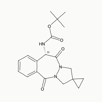 CC(C)(C)OC(=O)N[C@@H]1C(=O)N2CC3(CC3)CN2C(=O)c2ccccc21